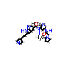 Cc1ncc(NC(=O)CN2CCC[C@@H]2C)cc1NC(=O)c1cnc2[nH]c(C#Cc3ccncc3)cc2c1